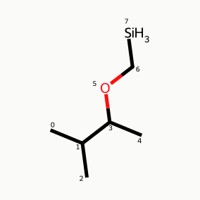 CC(C)C(C)OC[SiH3]